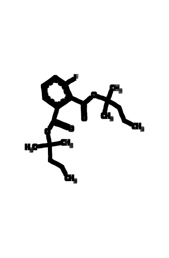 CCCC(C)(C)OC(=O)c1cccc(F)c1C(=O)OC(C)(C)CCC